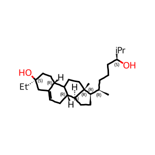 CC[C@]1(O)CC[C@H]2C(=CC[C@@H]3C2CC[C@]2(C)[C@@H]([C@H](C)CCC[C@H](O)C(C)C)CC[C@@H]32)C1